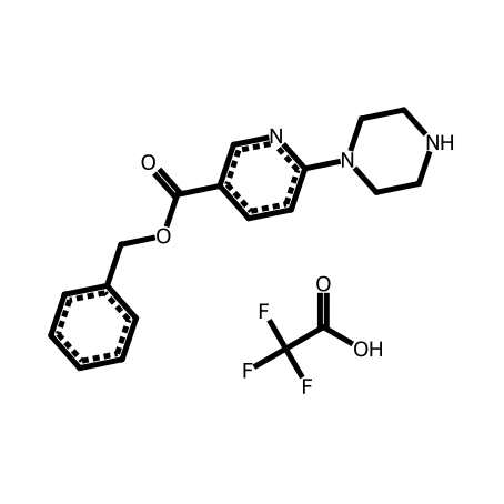 O=C(O)C(F)(F)F.O=C(OCc1ccccc1)c1ccc(N2CCNCC2)nc1